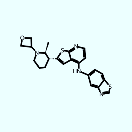 C[C@H]1[C@H](c2cc3c(Nc4ccc5scnc5c4)ccnc3s2)CCCN1C1COC1